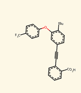 CC(C)(C)c1ccc(C#Cc2ccccc2C(=O)O)cc1Oc1ccc(C(F)(F)F)cc1